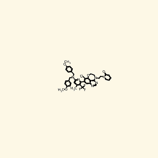 COc1ccc(CN(Cc2ccc(OC)cc2)c2cc(C)c(C(F)(F)F)c(-c3cc4ncnc5c4c(c3Cl)OCCN5CCn3ccccc3=O)n2)cc1